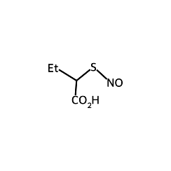 CCC(SN=O)C(=O)O